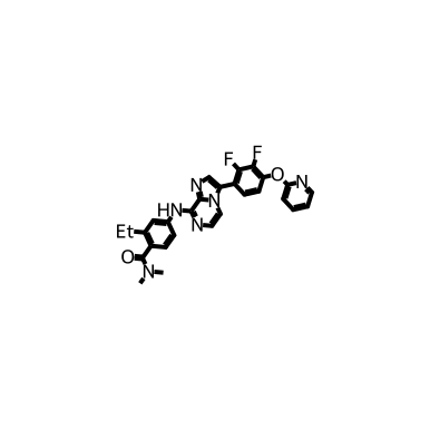 CCc1cc(Nc2nccn3c(-c4ccc(Oc5ccccn5)c(F)c4F)cnc23)ccc1C(=O)N(C)C